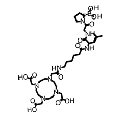 CC(C)=CC(NC(=O)CCCCCNC(=O)CN1CCN(CC(=O)O)CCN(CC(=O)O)CCN(CC(=O)O)CC1)C(=O)NCC(=O)N1CCC[C@H]1B(O)O